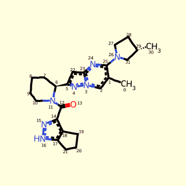 Cc1cn2nc([C@@H]3CCCCN3C(=O)c3n[nH]c4c3CCC4)cc2nc1N1CC[C@H](C)C1